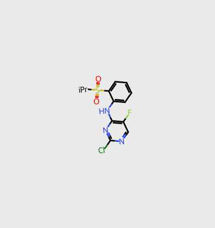 CC(C)S(=O)(=O)c1ccccc1Nc1nc(Cl)ncc1F